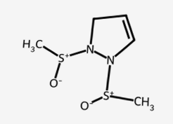 C[S+]([O-])N1C=CCN1[S+](C)[O-]